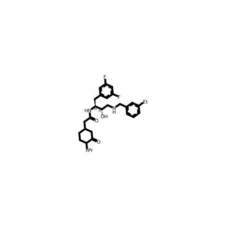 CCCC1CCC(CC(=O)N[C@@H](Cc2cc(F)cc(F)c2)[C@@H](O)CNCc2cccc(CC)c2)CC1=O